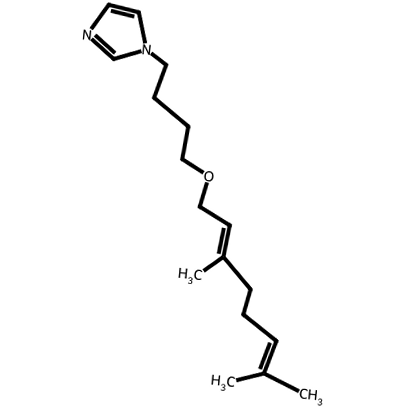 CC(C)=CCC/C(C)=C/COCCCCn1ccnc1